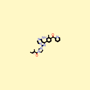 C/C=C(\C)C(=O)N1CCN(c2nc(-c3ccc(C(=O)c4ccccn4)c(C)c3)c3c(N)nccn23)C1